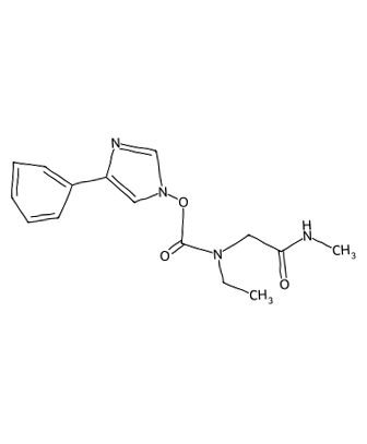 CCN(CC(=O)NC)C(=O)On1cnc(-c2ccccc2)c1